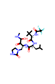 CNC(O)C(=O)[C@H](CN1CCNC1=O)NC(=O)[C@H](CC(C)C)NC(=O)[C@@H](NC(=O)C(F)(F)F)C(C)(C)C